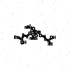 CCCC[O][Zr](=[O])([O]CCCC)([O]OCCN(O)CC)[O]OCCN(O)CC